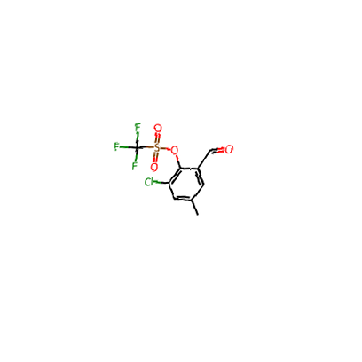 Cc1cc(Cl)c(OS(=O)(=O)C(F)(F)F)c(C=O)c1